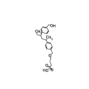 CCC(CC(C)c1ccc(COCCCS(=O)(=O)O)cc1)c1ccc(CO)cc1